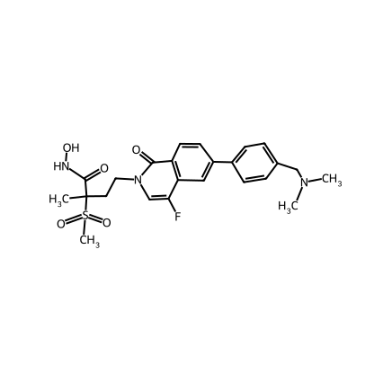 CN(C)Cc1ccc(-c2ccc3c(=O)n(CCC(C)(C(=O)NO)S(C)(=O)=O)cc(F)c3c2)cc1